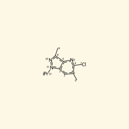 Cc1cc2c(nc1Cl)c(C)nn2C(C)C